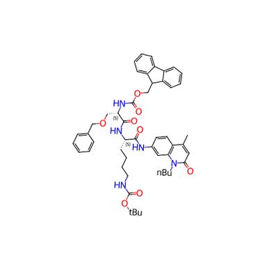 CCCCn1c(=O)cc(C)c2ccc(NC(=O)[C@H](CCCCNC(=O)OC(C)(C)C)NC(=O)[C@H](COCc3ccccc3)NC(=O)OCC3c4ccccc4-c4ccccc43)cc21